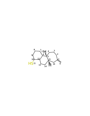 C=C1CCC[C@H]2C3CCCC(S)C3CC[C@H]2C1